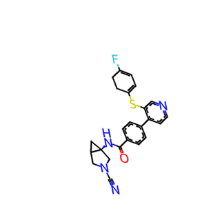 N#CN1CC2C[C@]2(NC(=O)c2ccc(-c3ccncc3SC3=CC=C(F)CC3)cc2)C1